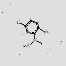 CCc1ccc(C(C)(C)C)c(N(C)SC)c1